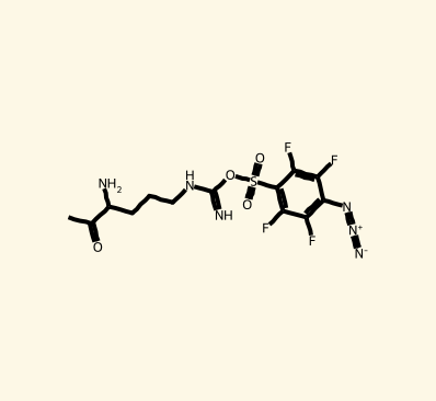 CC(=O)C(N)CCCNC(=N)OS(=O)(=O)c1c(F)c(F)c(N=[N+]=[N-])c(F)c1F